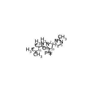 Cc1nccc(-c2cnc(OC(N)C(C)CC(C)C)c(C(F)F)c2)n1